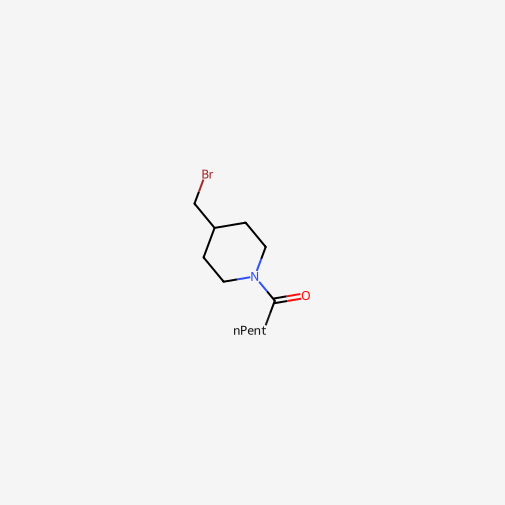 CCCCCC(=O)N1CCC(CBr)CC1